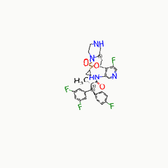 C[C@H](C(=O)Nc1cncc(F)c1CC[C@H]1CNCCN1S(=O)(=O)C1CC1)[C@@H](c1ccc(F)cc1)c1cc(F)cc(F)c1